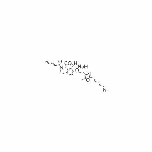 CC=CC=CC(=O)N1CCc2ccc(OCCc3nc(C=CCCCN(C)C)oc3C)cc2C1C(=O)O.[NaH]